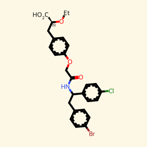 CCO[C@@H](Cc1ccc(OCC(=O)NC(Cc2ccc(Br)cc2)c2ccc(Cl)cc2)cc1)C(=O)O